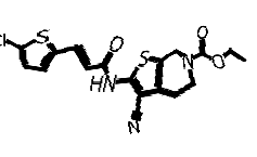 CCOC(=O)N1CCc2c(sc(NC(=O)C=Cc3ccc(Cl)s3)c2C#N)C1